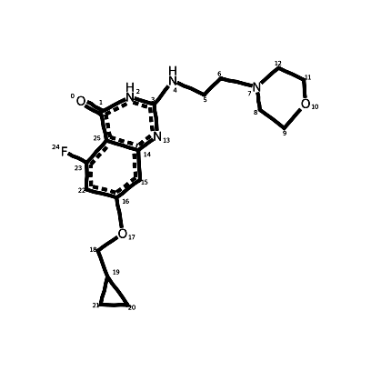 O=c1[nH]c(NCCN2CCOCC2)nc2cc(OCC3CC3)cc(F)c12